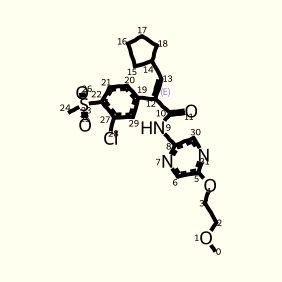 COCCOc1cnc(NC(=O)/C(=C/C2CCCC2)c2ccc(S(C)(=O)=O)c(Cl)c2)cn1